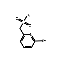 CC(C)c1cccc(CS(=O)(=O)C(C)C)n1